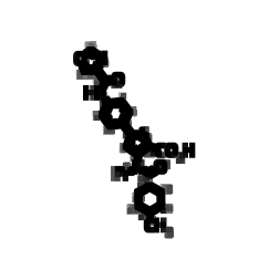 CC(C)N(c1cc(-c2ccc(NC(=O)c3cocn3)cc2)sc1C(=O)O)C(=O)[C@H]1CC[C@H](C)CC1